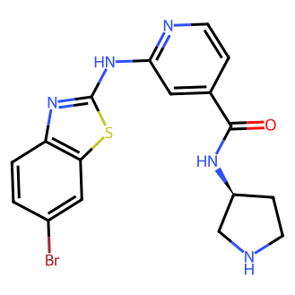 O=C(N[C@H]1CCNC1)c1ccnc(Nc2nc3ccc(Br)cc3s2)c1